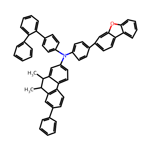 CC1c2cc(-c3ccccc3)ccc2-c2ccc(N(c3ccc(-c4ccc5c(c4)oc4ccccc45)cc3)c3ccc(-c4ccccc4-c4ccccc4)cc3)cc2C1C